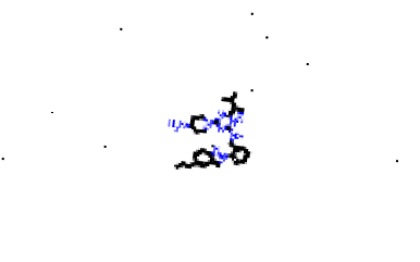 CCCc1ccc2nn(-c3ccccc3CNc3nc(N4CCC(N)CC4)nc4c(C(C)C)cnn34)cc2c1